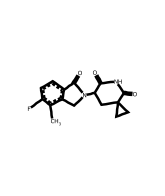 Cc1c(F)ccc2c1CN(C1CC3(CC3)C(=O)NC1=O)C2=O